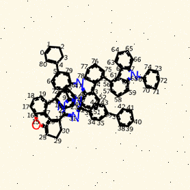 C1=CCCC(c2ccc(-c3nc(C4=c5c(oc6cccc(-c7ccccc7)c56)=CCC4)nc(-c4ccc(-c5ccccc5)cc4)n3)c(-n3c4ccccc4c4c(-c5cccc6c5c5ccccc5n6-c5ccccc5)cccc43)c2)=C1